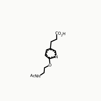 CC(=O)NCCOc1ccc(CCC(=O)O)cn1